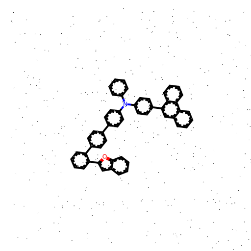 c1ccc(N(c2ccc(-c3ccc(-c4ccccc4-c4cc5ccccc5o4)cc3)cc2)c2ccc(-c3cc4ccccc4c4ccccc34)cc2)cc1